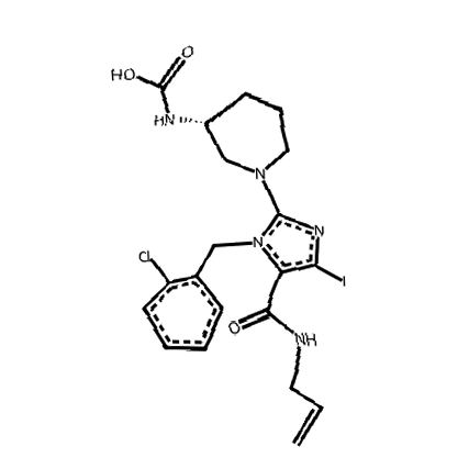 C=CCNC(=O)c1c(I)nc(N2CCC[C@@H](NC(=O)O)C2)n1Cc1ccccc1Cl